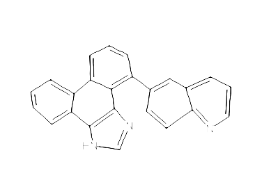 c1cnc2ccc(-c3cccc4c5ccccc5c5[nH]cnc5c34)cc2c1